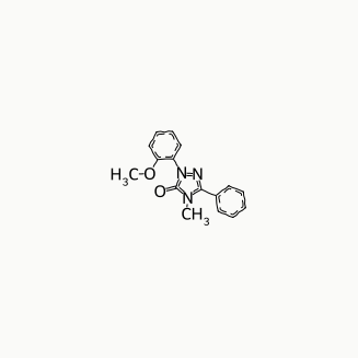 COc1ccccc1-n1nc(-c2ccccc2)n(C)c1=O